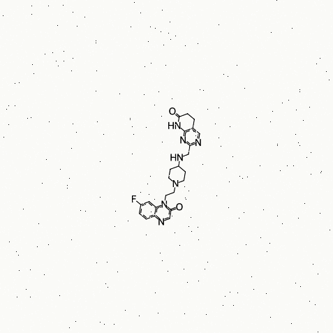 O=C1CCc2cnc(CNC3CCN(CCn4c(=O)cnc5ccc(F)cc54)CC3)nc2N1